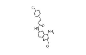 COCc1cc(N)c2cc(NC(=O)C=Cc3ccc(Cl)cc3)ccc2n1